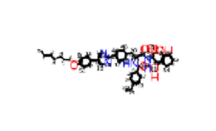 CCCCCCCOc1ccc(-c2cnc(-c3ccc(C[C@H](NC(=O)c4ccc(CC)cc4)C(O)NC(C(=O)O)C(O)c4ccccc4)cc3)nc2)cc1